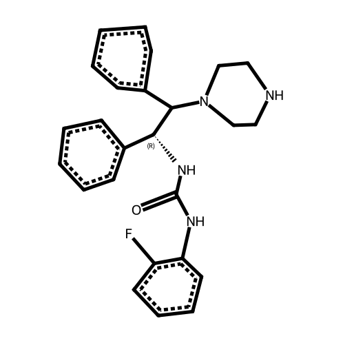 O=C(Nc1ccccc1F)N[C@H](c1ccccc1)C(c1ccccc1)N1CCNCC1